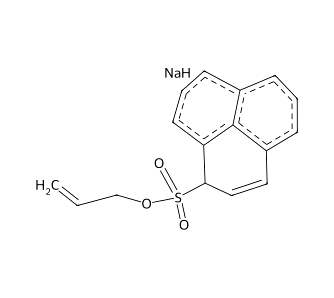 C=CCOS(=O)(=O)C1C=Cc2cccc3cccc1c23.[NaH]